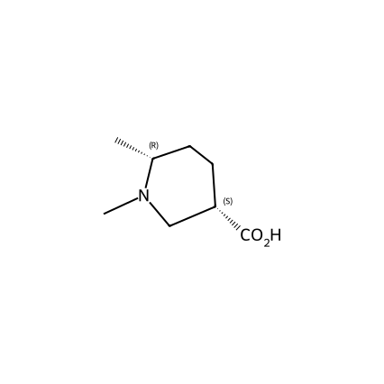 C[C@@H]1CC[C@H](C(=O)O)CN1C